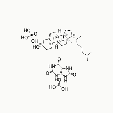 CC(C)CCCC(C)[C@H]1CC[C@H]2[C@@H]3CC=C4C[C@@H](O)CC[C@]4(C)[C@H]3CC[C@]12C.O=C(O)O.O=P(O)(O)O.O=c1[nH]c(=O)c2[nH]c(=O)[nH]c2[nH]1